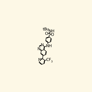 CC(C)(C)NS(=O)(=O)c1ccc(Nc2ncnc3cc(-c4ncccc4C(F)(F)F)ccc23)cc1